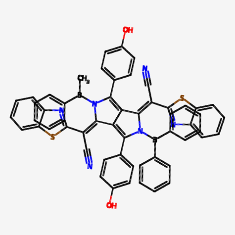 CB(c1ccccc1)n1c(-c2ccc(O)cc2)c2/c(=C(\C#N)c3nc4ccccc4s3)n(B(c3ccccc3)c3ccccc3)c(-c3ccc(O)cc3)c2/c1=C(\C#N)c1nc2ccccc2s1